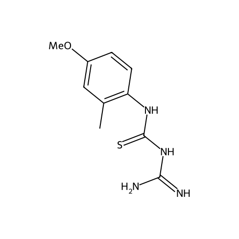 COc1ccc(NC(=S)NC(=N)N)c(C)c1